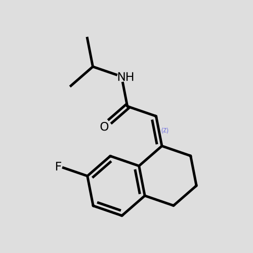 CC(C)NC(=O)/C=C1/CCCc2ccc(F)cc21